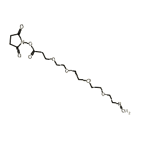 C=NCCOCCOCCOCCOCCC(=O)ON1C(=O)CCC1=O